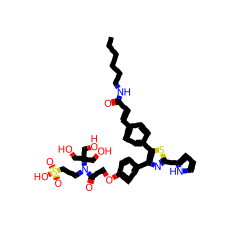 CCCCCCNC(=O)C=Cc1ccc(-c2sc(-c3ccc[nH]3)nc2-c2ccc(OCC(=O)N(CCS(=O)(=O)O)C(CO)(CO)CO)cc2)cc1